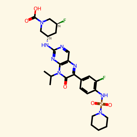 CC(C)n1c(=O)c(-c2ccc(NS(=O)(=O)N3CCCCC3)c(F)c2)nc2cnc(N[C@H]3C[C@H](F)CN(C(=O)O)C3)nc21